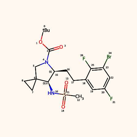 CC(C)(C)OC(=O)N1CC2(CC2)[C@H](NS(C)(=O)=O)[C@@H]1CCc1cc(F)cc(Br)c1F